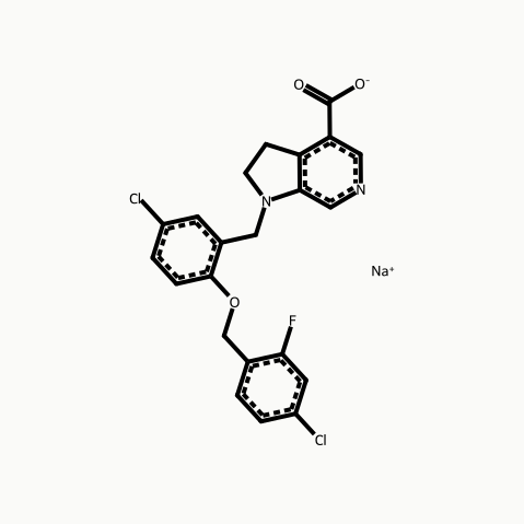 O=C([O-])c1cncc2c1CCN2Cc1cc(Cl)ccc1OCc1ccc(Cl)cc1F.[Na+]